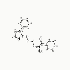 CCN(CCCSc1nnnn1-c1ccccc1)C(=O)c1ccccc1